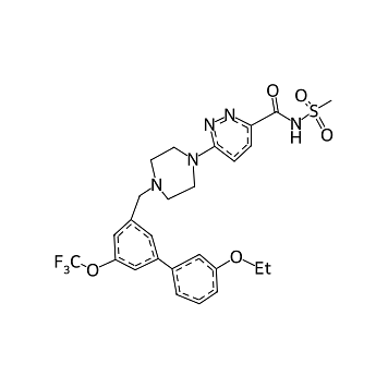 CCOc1cccc(-c2cc(CN3CCN(c4ccc(C(=O)NS(C)(=O)=O)nn4)CC3)cc(OC(F)(F)F)c2)c1